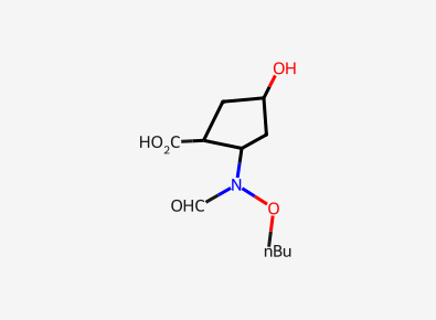 CCCCON(C=O)C1CC(O)CC1C(=O)O